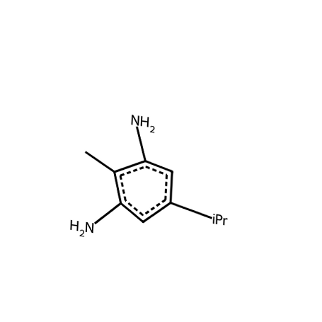 Cc1c(N)cc(C(C)C)cc1N